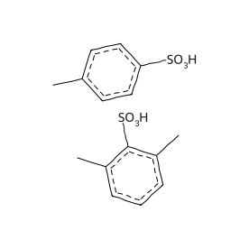 Cc1ccc(S(=O)(=O)O)cc1.Cc1cccc(C)c1S(=O)(=O)O